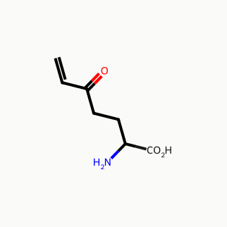 C=CC(=O)CCC(N)C(=O)O